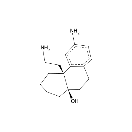 NCC[C@]12CCCC[C@@]1(O)CCc1ccc(N)cc12